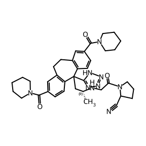 C[C@H](CC1(c2nnn[nH]2)c2ccc(C(=O)N3CCCCC3)cc2CCc2cc(C(=O)N3CCCCC3)ccc21)NCC(=O)N1CCCC1C#N